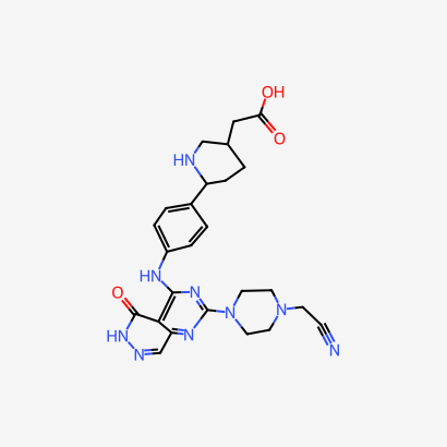 N#CCN1CCN(c2nc(Nc3ccc(C4CCC(CC(=O)O)CN4)cc3)c3c(=O)[nH]ncc3n2)CC1